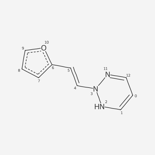 C1=CNN(C=Cc2ccco2)N=C1